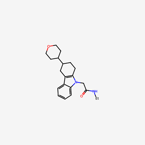 CCNC(=O)Cn1c2c(c3ccccc31)CC(C1CCOCC1)CC2